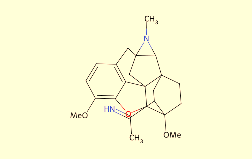 COc1ccc2c3c1OC1C4(OC)CCC5(CC4C(C)=N)C4N(C)C4(C2)CC315